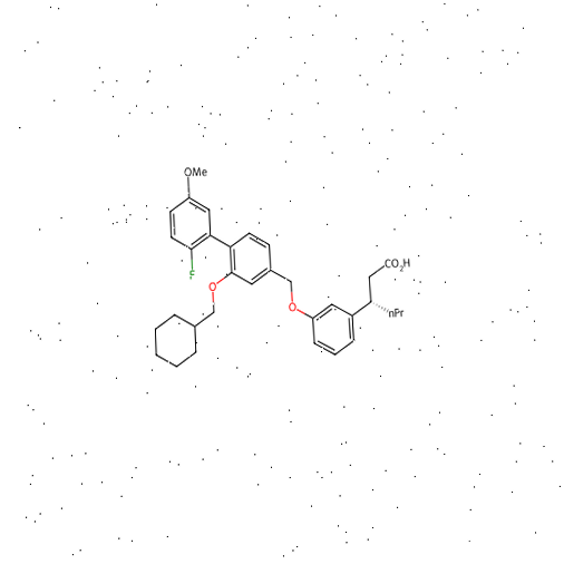 CCC[C@@H](CC(=O)O)c1cccc(OCc2ccc(-c3cc(OC)ccc3F)c(OCC3CCCCC3)c2)c1